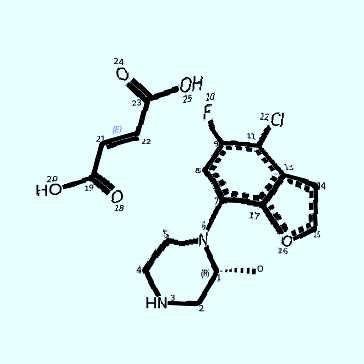 C[C@@H]1CNCCN1c1cc(F)c(Cl)c2ccoc12.O=C(O)/C=C/C(=O)O